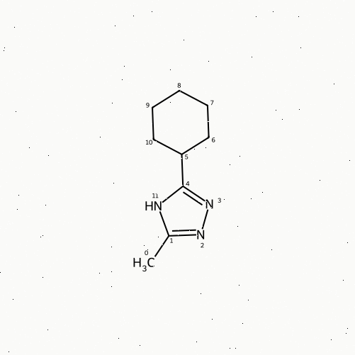 Cc1nnc(C2CCCCC2)[nH]1